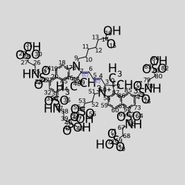 CC1(C)C(/C=C/C=C2/N(CCCCCC(=O)O)c3ccc4c(S(=O)(=O)NCCS(=O)(=O)O)cc(S(=O)(=O)NCCS(=O)(=O)O)cc4c3C2(C)C)=[N+](CCCS(=O)(=O)O)c2ccc3c(S(=O)(=O)NCCS(=O)(=O)O)cc(S(=O)(=O)NCCS(=O)(=O)O)cc3c21